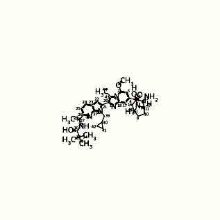 COc1cc(C(=O)N2[C@H]3CC[C@@H]2[C@H](N)[C@H](O)C3)cc2nc(-c3cc4ccc([C@@H](C)NC(O)C(C)(C)C)nc4n3CC3CC3)c(C)n12